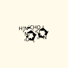 NC=O.c1cnoc1.c1cocn1